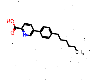 CCCCCCc1ccc(-c2ccc(C(=O)O)nc2)cc1